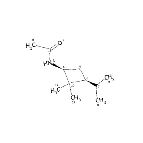 CC(=O)N[C@H]1C[C@@H](C(C)C)C1(C)C